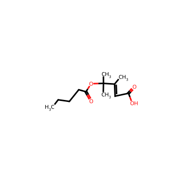 CCCCC(=O)OC(C)(C)/C(C)=C/C(=O)O